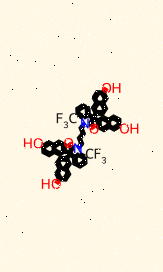 O=C1N(CCCCN2C(=O)C(c3ccc4cc(O)ccc4c3)(c3ccc4cc(O)ccc4c3)c3cccc(C(F)(F)F)c32)c2c(C(F)(F)F)cccc2C1(c1ccc2cc(O)ccc2c1)c1ccc2cc(O)ccc2c1